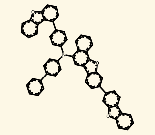 c1ccc(-c2ccc(N(c3ccc(-c4cccc5oc6ccccc6c45)cc3)c3cc4c5ccc(-c6ccc7c(c6)oc6ccccc67)cc5oc4c4ccccc34)cc2)cc1